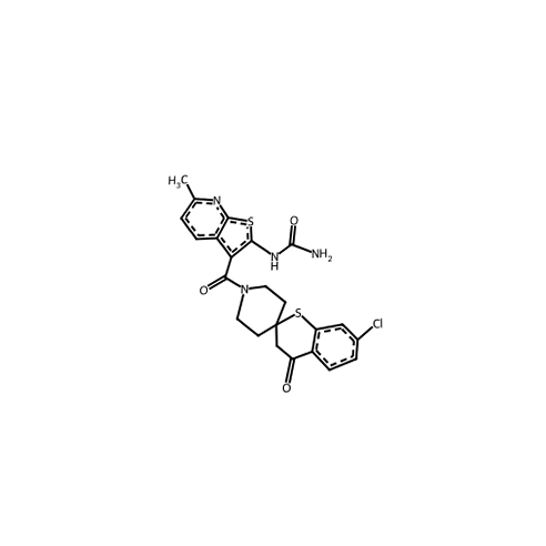 Cc1ccc2c(C(=O)N3CCC4(CC3)CC(=O)c3ccc(Cl)cc3S4)c(NC(N)=O)sc2n1